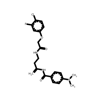 C=C(CCNC(=O)COc1ccc(Cl)c(F)c1)NC(=O)c1ccc(N(C)C)cc1